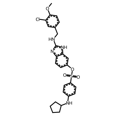 COc1ccc(CNc2nc3ccc(OS(=O)(=O)c4ccc(NC5CCCC5)cc4)cc3[nH]2)cc1Cl